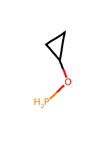 POC1CC1